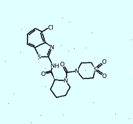 O=C(Nc1nc2c(Cl)cccc2s1)[C@@H]1CCCCN1C(=O)N1CCS(=O)(=O)CC1